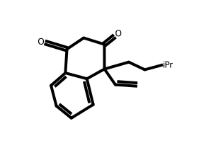 C=CC1(CCC(C)C)C(=O)CC(=O)c2ccccc21